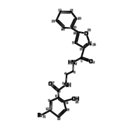 O=C(NCCNC(=O)c1cc(Br)ccc1O)c1cc(-c2ccccc2)on1